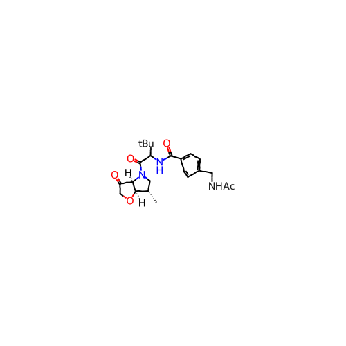 CC(=O)NCc1ccc(C(=O)NC(C(=O)N2C[C@H](C)[C@H]3OCC(=O)[C@H]32)C(C)(C)C)cc1